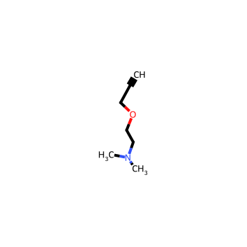 C#CCOCCN(C)C